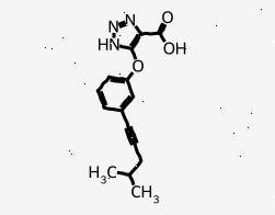 CC(C)CC#Cc1cccc(Oc2[nH]nnc2C(=O)O)c1